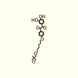 CC1(COCCCCCCOc2ccc(C(=O)C(=O)c3ccc(O)c(O)c3)cc2)COC1